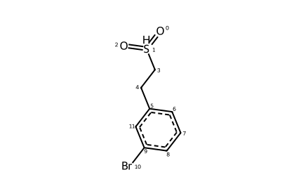 O=[SH](=O)CCc1cccc(Br)c1